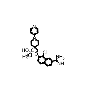 Cl.Cl.N=C(N)c1ccc2ccc(OCC3(C(=O)O)CCN(c4ccncc4)CC3)c(Cl)c2c1